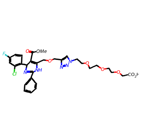 COC(=O)C1=C(COCc2cn(CCOCCOCCOCC(=O)O)nn2)NC(c2ccccc2)=NC1c1ccc(F)cc1Cl